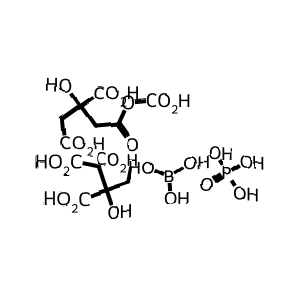 O=C(O)CC(O)(CC(=O)O)C(=O)O.O=C(O)CC(O)(CC(=O)OC(=O)O)C(=O)O.O=P(O)(O)O.OB(O)O